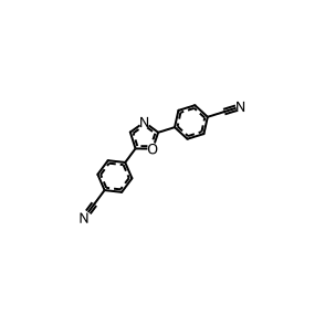 N#Cc1ccc(-c2cnc(-c3ccc(C#N)cc3)o2)cc1